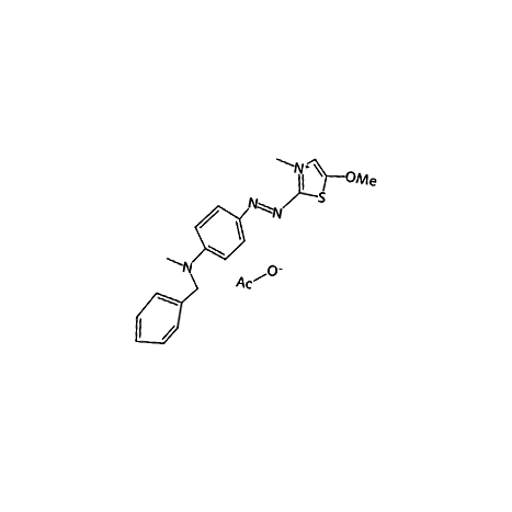 CC(=O)[O-].COc1c[n+](C)c(/N=N/c2ccc(N(C)Cc3ccccc3)cc2)s1